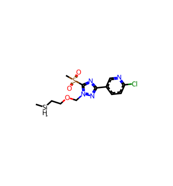 C[SiH](C)CCOCn1nc(-c2ccc(Cl)nc2)nc1S(C)(=O)=O